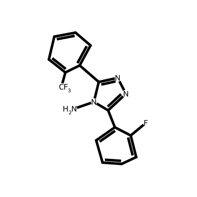 Nn1c(-c2ccccc2F)nnc1-c1ccccc1C(F)(F)F